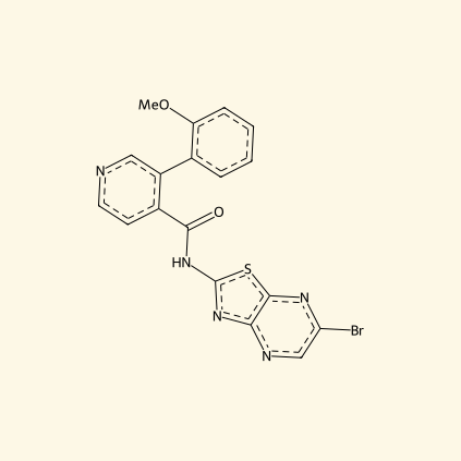 COc1ccccc1-c1cnccc1C(=O)Nc1nc2ncc(Br)nc2s1